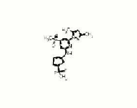 Cc1cc(C)n(-c2cc(S(C)(=O)=O)cc(Nc3cccc(C(C)(F)F)c3)n2)n1